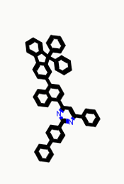 c1ccc(-c2ccc(-c3nc(-c4ccccc4)cc(-c4ccc(-c5ccc6c(c5)C(c5ccccc5)(c5ccccc5)c5ccccc5-6)c5ccccc45)n3)cc2)cc1